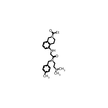 CCC(=O)N1CCc2c(cccc2NCC(=O)N(CCN(C)C)Cc2ccc(C)cc2)C1